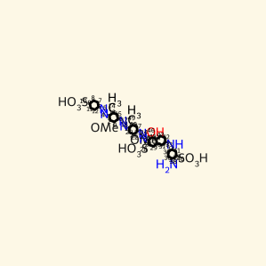 COc1cc(N=Nc2ccc(S(=O)(=O)O)cc2)c(C)cc1N=Nc1cc(OC)c(N=Nc2c(S(=O)(=O)O)cc3cc(Nc4ccc(N)c(S(=O)(=O)O)c4)ccc3c2O)cc1C